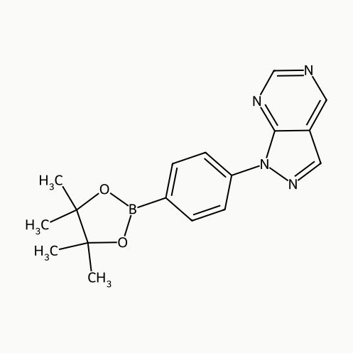 CC1(C)OB(c2ccc(-n3ncc4cncnc43)cc2)OC1(C)C